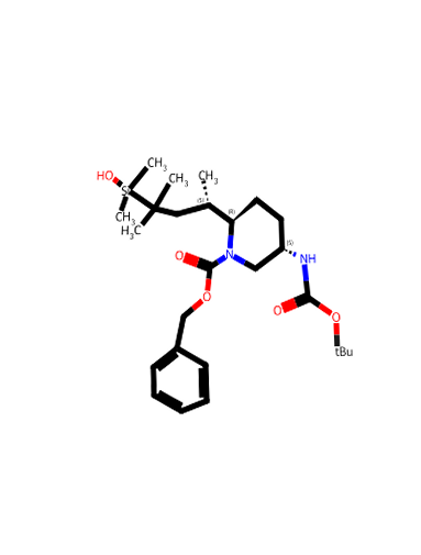 C[C@@H](CC(C)(C)[Si](C)(C)O)[C@H]1CC[C@H](NC(=O)OC(C)(C)C)CN1C(=O)OCc1ccccc1